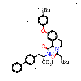 CC(C)(C)CC(=O)N1CCc2ccc(Oc3ccc(C(C)(C)C)cc3)cc2C1C(=O)N[C@@H](Cc1ccc(-c2ccccc2)cc1)C(=O)O